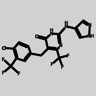 O=c1[nH]c(Nc2cn[nH]c2)nc(C(F)(F)F)c1Cc1ccc(Cl)c(C(F)(F)F)c1